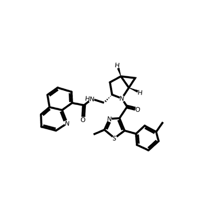 Cc1cccc(-c2sc(C)nc2C(=O)N2[C@H](CNC(=O)c3cccc4cccnc34)C[C@@H]3C[C@@H]32)c1